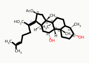 CC(=O)O[C@H]1C[C@@]2(C)[C@@H](C[C@@H](O)[C@H]3[C@@]4(C)CC[C@@H](O)[C@@H](C)C4CC[C@@]32C)/C1=C(\CCC=C(C)C)C(=O)O